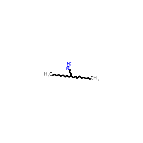 CCCCCCCCCCC(CCCCCCCCCC)CCCN=[N+]=[N-]